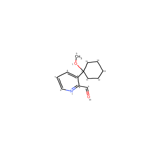 COC1(c2cccnc2C=O)CCCCC1